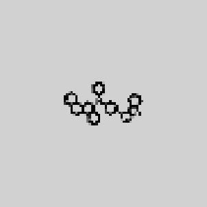 C1=NC(c2ccc(N(c3ccccc3)c3cc4c5ccccc5ccc4c4ccccc34)cc2)c2c1oc1ccccc21